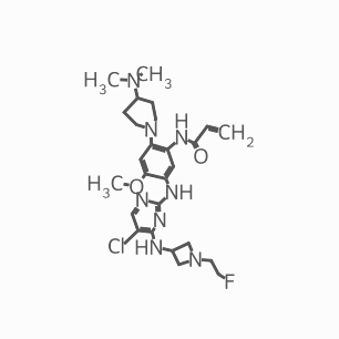 C=CC(=O)Nc1cc(Nc2ncc(Cl)c(NC3CN(CCF)C3)n2)c(OC)cc1N1CCC(N(C)C)CC1